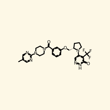 Cc1cnc(N2CCN(C(=O)c3cccc(OC[C@@H]4CCCN4c4cn[nH]c(=O)c4C(F)(F)F)c3)CC2)nc1